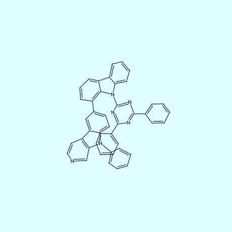 c1ccc(-c2nc(-c3ccccc3)nc(-n3c4ccccc4c4cccc(-c5ccc6c(c5)c5ccncc5n6-c5ccccc5)c43)n2)cc1